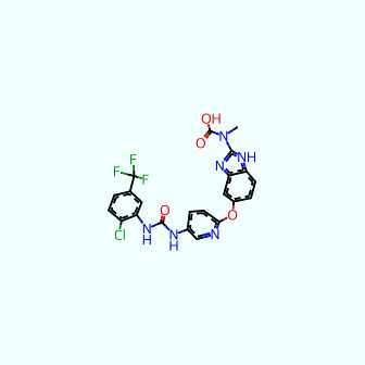 CN(C(=O)O)c1nc2cc(Oc3ccc(NC(=O)Nc4cc(C(F)(F)F)ccc4Cl)cn3)ccc2[nH]1